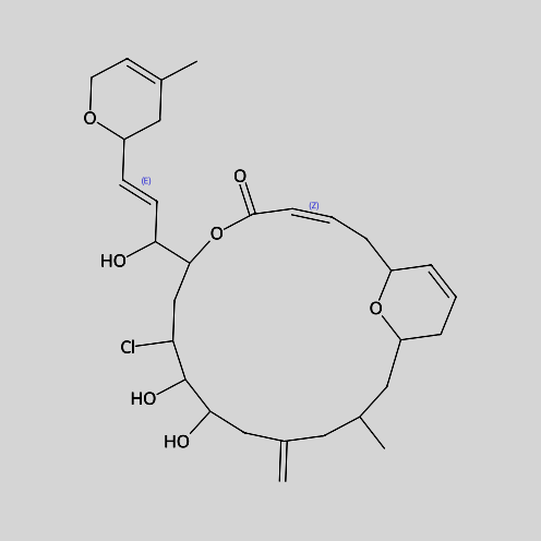 C=C1CC(C)CC2CC=CC(C/C=C\C(=O)OC(C(O)/C=C/C3CC(C)=CCO3)CC(Cl)C(O)C(O)C1)O2